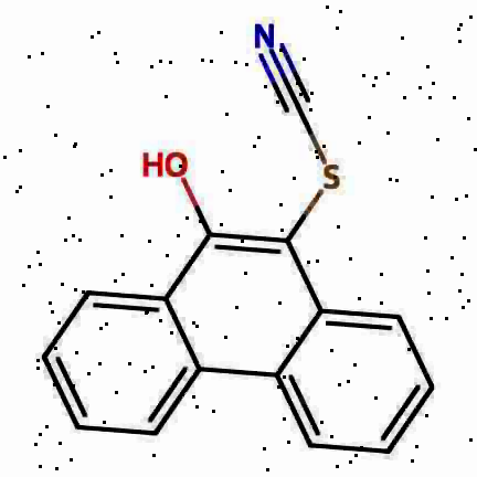 N#CSc1c(O)c2ccccc2c2ccccc12